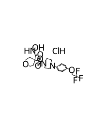 Cl.O=C(NO)C1(S(=O)(=O)N2CCN(c3ccc(OCC(F)(F)F)cc3)CC2)CCOCC1